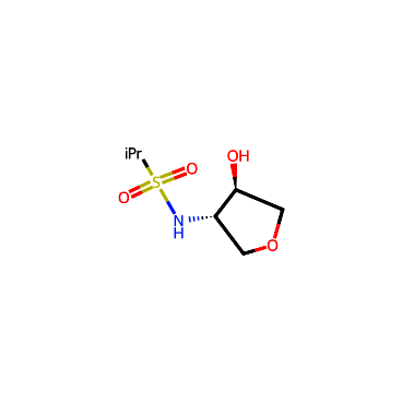 CC(C)S(=O)(=O)N[C@H]1COC[C@@H]1O